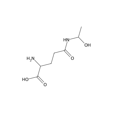 CC(O)NC(=O)CCC(N)C(=O)O